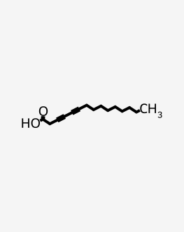 CCCCCCCCCC#CC#CCC(=O)O